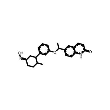 CC(Oc1cccc(C2CC(=NO)CCC2C)c1)c1ccc2[nH]c(=O)ccc2c1